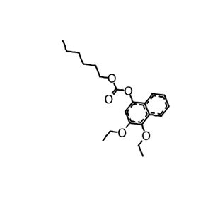 CCCCCCOC(=O)Oc1cc(OCC)c(OCC)c2ccccc12